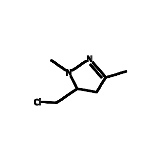 CC1=NN(C)C(CCl)C1